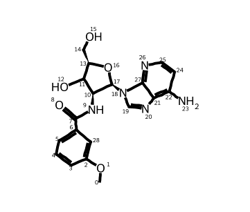 COc1cccc(C(=O)N[C@H]2C(O)[C@@H](CO)O[C@H]2n2cnc3c(N)ccnc32)c1